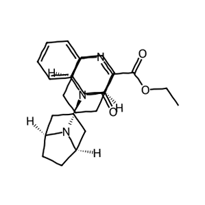 CCOC(=O)c1nc2ccccc2n([C@H]2C[C@H]3CC[C@@H](C2)N3[C@H]2C[C@@H]3CCC[C@@H](C3)C2)c1=O